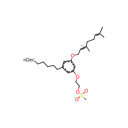 CCCCCCCCCCCCCCCc1cc(OC/C=C(\C)CCC=C(C)C)cc(OCCOS(C)(=O)=O)c1